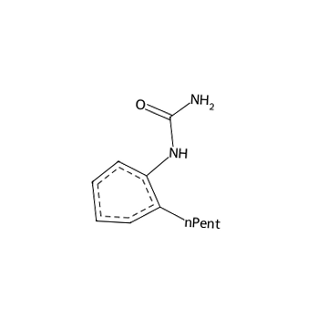 CCCCCc1ccccc1NC(N)=O